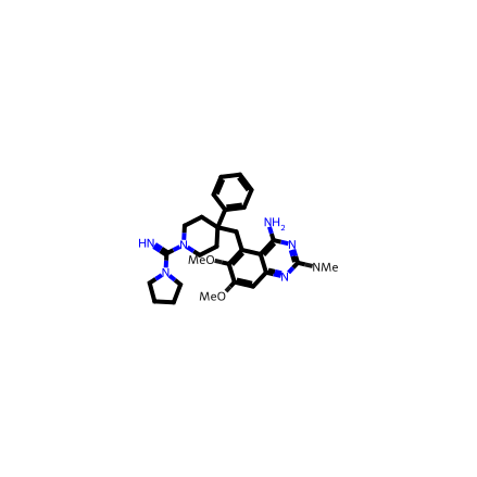 CNc1nc(N)c2c(CC3(c4ccccc4)CCN(C(=N)N4CCCC4)CC3)c(OC)c(OC)cc2n1